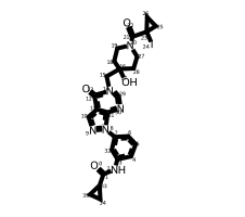 O=C(Nc1cccc(-n2ncc3c(=O)n(CC4(O)CCN(C(=O)C5(I)CC5)CC4)cnc32)c1)C1CC1